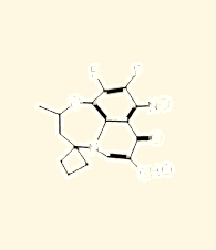 CC1CC2(CCC2)n2cc(C=O)c(=O)c3c(N=O)c(F)c(F)c(c32)O1